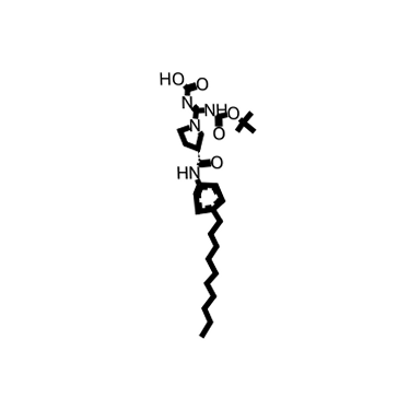 CCCCCCCCCCc1ccc(NC(=O)[C@@H]2CCN(C(=NC(=O)O)NC(=O)OC(C)(C)C)C2)cc1